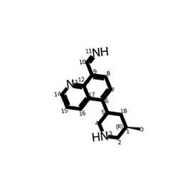 C[C@H]1CNCC(c2ccc(C=N)c3ncccc23)C1